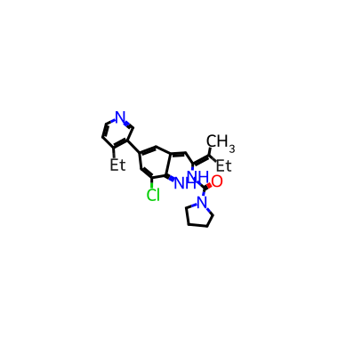 CC/C(C)=C(/C=C1/C=C(c2cnccc2CC)C=C(Cl)C1=N)NC(=O)N1CCCC1